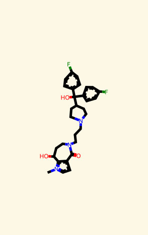 Cn1ccc2c1C(O)CCN(CCCN1CCC(C(O)(c3ccc(F)cc3)c3ccc(F)cc3)CC1)C2=O